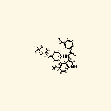 COc1cccc(C(=O)Nc2c[nH]c3ncc(Br)c(N4CCCC(NC(=O)OC(C)(C)C)C4)c23)c1